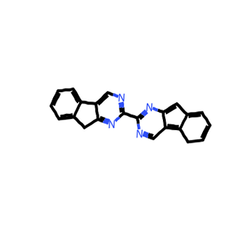 C1=CCC2=c3cnc(-c4ncc5c(n4)Cc4ccccc4-5)nc3=CC2=C1